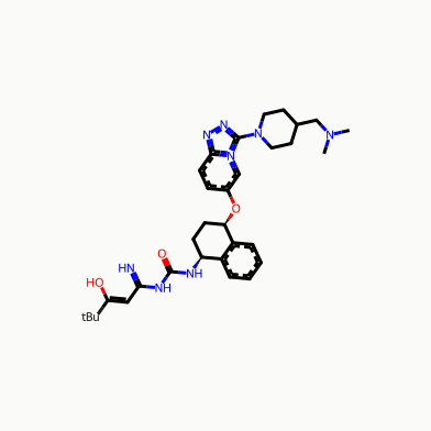 CN(C)CC1CCN(c2nnc3ccc(O[C@@H]4CC[C@H](NC(=O)NC(=N)/C=C(\O)C(C)(C)C)c5ccccc54)cn23)CC1